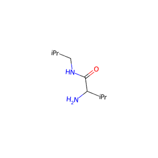 CC(C)CNC(=O)C(N)C(C)C